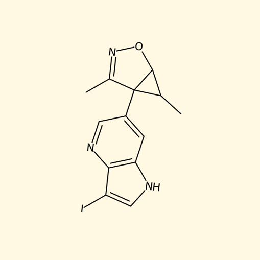 CC1=NOC2C(C)C12c1cnc2c(I)c[nH]c2c1